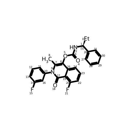 CC[C@H](NC(=O)Oc1c(C)n(-c2cccc(F)c2)c(=O)c2c(F)cccc12)c1ccccc1